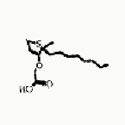 CCCCCCCCC1(C)SCC=C1OCC(=O)O